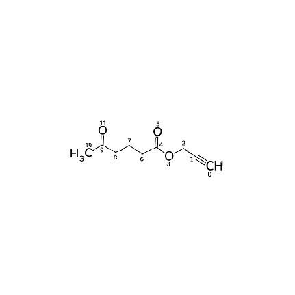 C#CCOC(=O)CCCC(C)=O